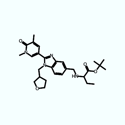 CCC(NCc1ccc2c(c1)nc(-c1cc(C)c(=O)n(C)c1)n2CC1CCOC1)C(=O)OC(C)(C)C